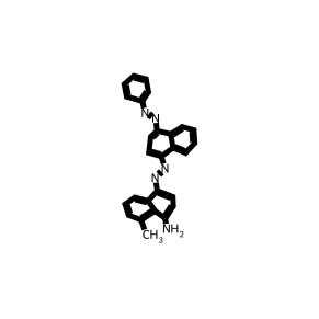 Cc1cccc2c(/N=N/c3ccc(/N=N/c4ccccc4)c4ccccc34)ccc(N)c12